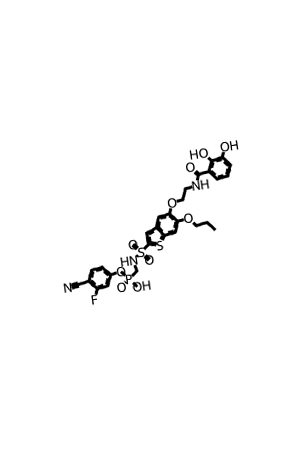 CCCOc1cc2sc(S(=O)(=O)NCP(=O)(O)Oc3ccc(C#N)c(F)c3)cc2cc1OCCNC(=O)c1cccc(O)c1O